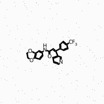 O=C(/C=C(/c1ccc(C(F)(F)F)cc1)c1cccnc1)Nc1ccc2c(c1)OCCO2